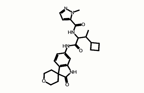 CC(C1CCC1)C(NC(=O)c1ccnn1C)C(=O)Nc1ccc2c(c1)NC(=O)C21CCOCC1